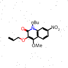 C=CCOc1c(OC)c2ccc([N+](=O)[O-])cc2n(CCCC)c1=O